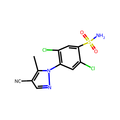 Cc1c(C#N)cnn1-c1cc(Cl)c(S(N)(=O)=O)cc1Cl